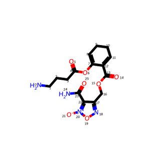 NCCCC(=O)OC1=CCCC=C1C(=O)OCc1no[n+]([O-])c1C(N)=O